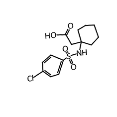 O=C(O)CC1(NS(=O)(=O)c2ccc(Cl)cc2)CCCCC1